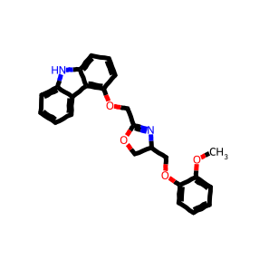 COc1ccccc1OCC1COC(COc2cccc3[nH]c4ccccc4c23)=N1